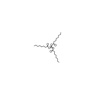 CCCCCCCC(=O)OB(OC(=O)CCCCCCC)OC(=O)CCCCCCC